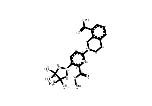 COC(=O)c1cccc2c1CN(c1ccc(B3OC(C)(C)C(C)(C)O3)c(C(=O)OC(C)(C)C)n1)CC2